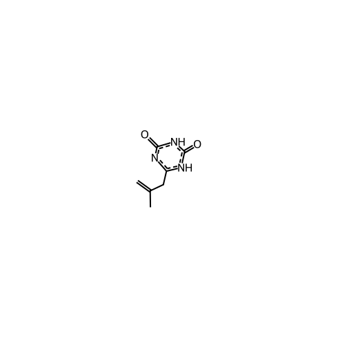 C=C(C)Cc1nc(=O)[nH]c(=O)[nH]1